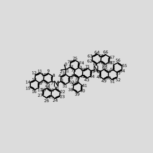 CC1(C)c2cc(N(c3ccc4ccc5ccccc5c4c3)c3cccc4ccccc34)ccc2-c2c(-c3ccccc3)c3ccc(N(c4ccc5ccc6ccccc6c5c4)c4cccc5ccccc45)cc3c3cccc1c23